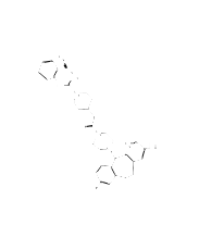 N#CN=C(Oc1ccccc1)N1CCC(CC(=O)N2CCN(C3c4ccc(Cl)cc4CCc4cc(Br)cnc43)CC2)CC1